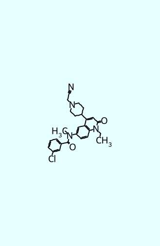 CCn1c(=O)cc(C2CCN(CC#N)CC2)c2cc(N(C)C(=O)c3cccc(Cl)c3)ccc21